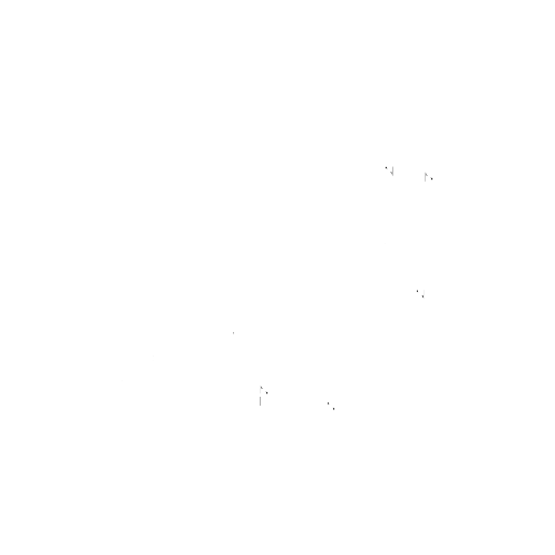 Cn1cc(-c2cc3cc(NC(=O)C4CCCO4)ncc3cn2)cn1